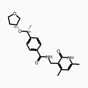 Cc1cc(C)c(CNC(=O)c2ccc([C@@H](C)O[C@@H]3CCOC3)cc2)c(=O)[nH]1